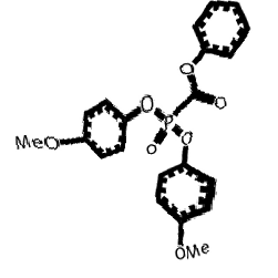 COc1ccc(OP(=O)(Oc2ccc(OC)cc2)C(=O)Oc2ccccc2)cc1